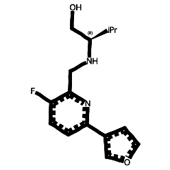 CC(C)[C@H](CO)NCc1nc(-c2ccoc2)ccc1F